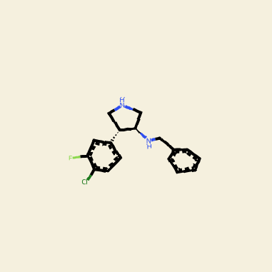 Fc1cc([C@@H]2CNC[C@H]2NCc2ccccc2)ccc1Cl